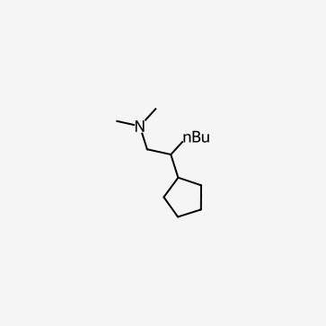 CCCCC(CN(C)C)C1CCCC1